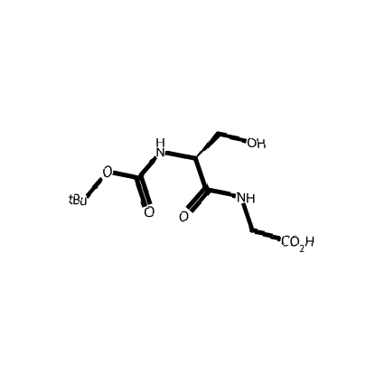 CC(C)(C)OC(=O)N[C@@H](CO)C(=O)NCC(=O)O